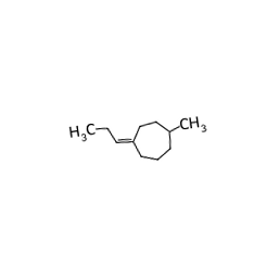 CCC=C1CCCC(C)CC1